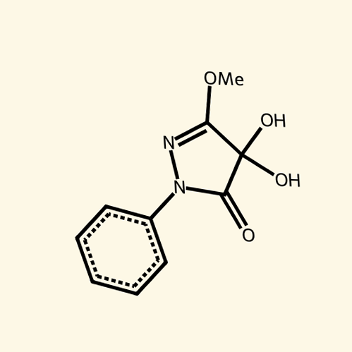 COC1=NN(c2ccccc2)C(=O)C1(O)O